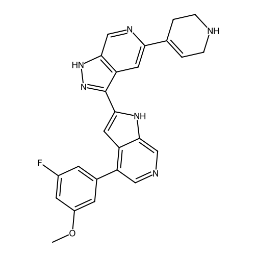 COc1cc(F)cc(-c2cncc3[nH]c(-c4n[nH]c5cnc(C6=CCNCC6)cc45)cc23)c1